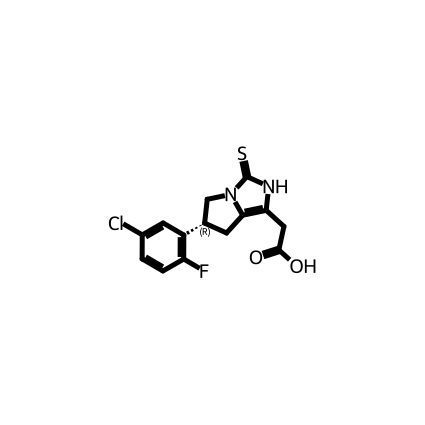 O=C(O)Cc1[nH]c(=S)n2c1C[C@H](c1cc(Cl)ccc1F)C2